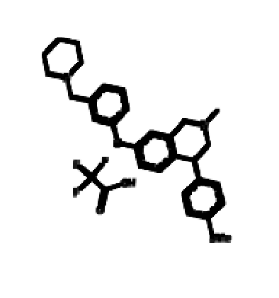 CSc1ccc(C2CN(C)Cc3cc(Oc4cccc(CN5CCCCC5)c4)ccc32)cc1.O=C(O)C(F)(F)F